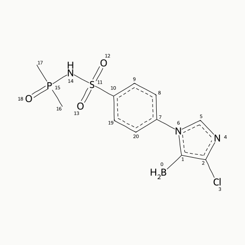 Bc1c(Cl)ncn1-c1ccc(S(=O)(=O)NP(C)(C)=O)cc1